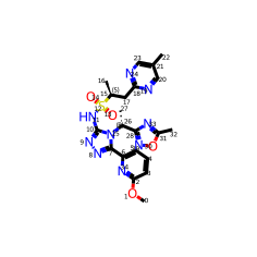 COc1cccc(-c2nnc(NS(=O)(=O)[C@@H](C)Cc3ncc(C)cn3)n2[C@H](C)c2noc(C)n2)n1